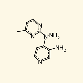 Cc1ccnc(N(N)c2ccncc2N)n1